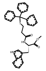 COC(=O)[C@H](Cc1c[nH]c2ccccc12)NC(=O)CCSC(c1ccccc1)(c1ccccc1)c1ccccc1